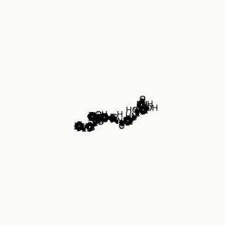 O=C(NCc1cc(-c2ccc(C(O)(C(=O)OCC3CCN(Cc4ccccc4)CC3)c3ccccc3)cc2)cs1)c1ccc(CNCC(O)c2ccc(O)c3[nH]c(=O)ccc23)cc1